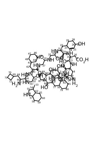 CC(O)[C@H](NC(=O)[C@H](CC(N)O)NC(O)[C@H](CC(=O)O)NC(=O)[C@H](CC1C=CC(O)CC1)NC(O)CNC(O)CNC(=O)[C@H](CC1CCCCC1)NC(O)[C@H](CC1CNC2CCCCC12)NC(O)C(N)CC1CCC1)C(O)N[C@@H](CC1CCCCC1)C(O)N1CCC[C@H]1C(O)NCCSS